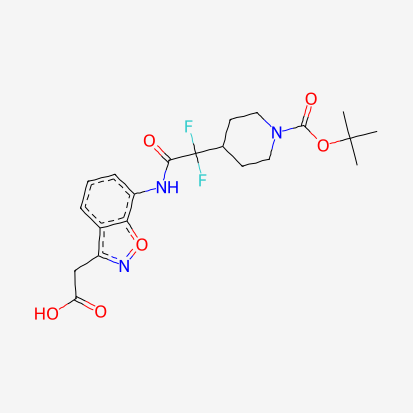 CC(C)(C)OC(=O)N1CCC(C(F)(F)C(=O)Nc2cccc3c(CC(=O)O)noc23)CC1